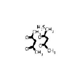 CC(=O)CC(C)=O.CC(=O)CC(C)=O.S